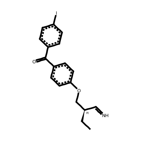 CC[C@H](C=N)COc1ccc(C(=O)c2ccc(I)cc2)cc1